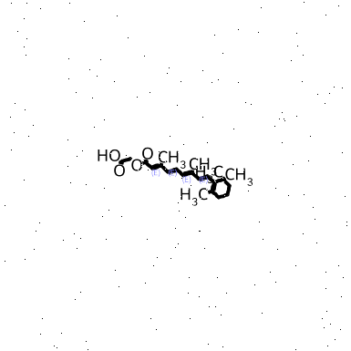 CC1=C(/C=C/C(C)=C/C=C/C(C)=C/C(=O)OCC(=O)O)C(C)(C)CCC1